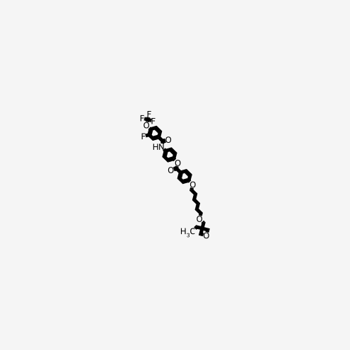 CCC1(COCCCCCCOc2ccc(C(=O)Oc3ccc(NC(=O)c4ccc(OC(F)(F)F)c(F)c4)cc3)cc2)COC1